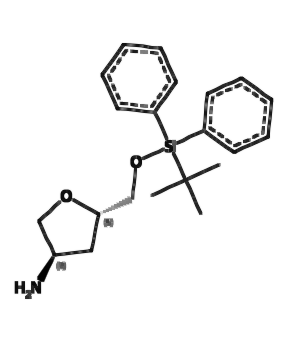 CC(C)(C)[Si](OC[C@@H]1C[C@@H](N)CO1)(c1ccccc1)c1ccccc1